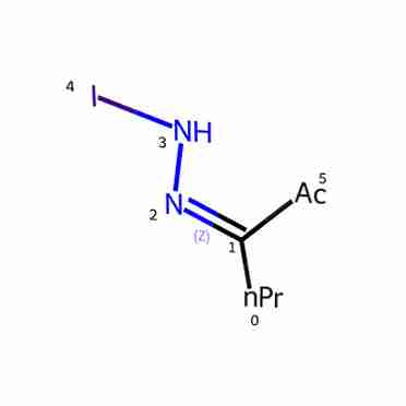 CCC/C(=N/NI)C(C)=O